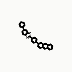 c1ccc(-c2ccc3nc(-c4ccc(-c5ccc6cc7ccccc7cc6c5)cc4)sc3c2)cc1